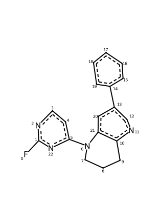 Fc1nccc(N2CCCc3ncc(-c4ccccc4)cc32)n1